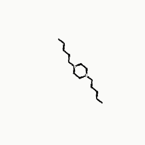 CCCCCN1CCN(CCCCC)CC1